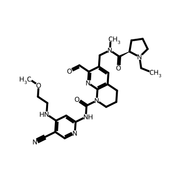 CCN1CCC[C@@H]1C(=O)N(C)Cc1cc2c(nc1C=O)N(C(=O)Nc1cc(NCCOC)c(C#N)cn1)CCC2